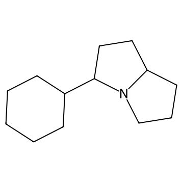 C1CCC(C2CCC3CCCN32)CC1